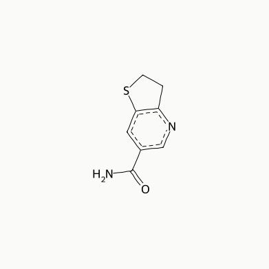 NC(=O)c1cnc2c(c1)SCC2